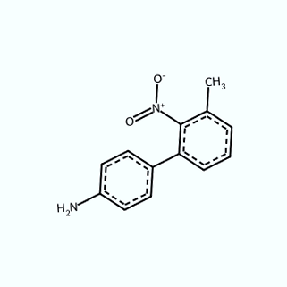 Cc1cccc(-c2ccc(N)cc2)c1[N+](=O)[O-]